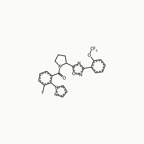 O=C(c1cccc(F)c1-n1cccn1)N1CCCC1c1nc(-c2ccccc2OC(F)(F)F)no1